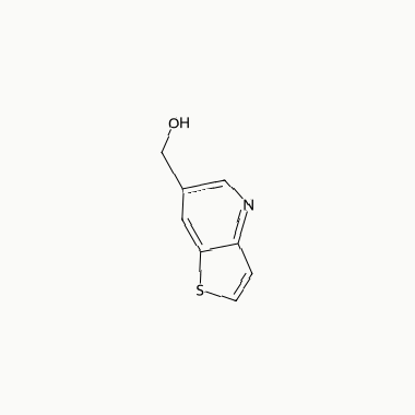 OCc1cnc2ccsc2c1